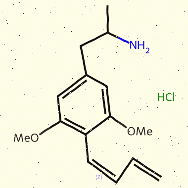 C=C/C=C\c1c(OC)cc(CC(C)N)cc1OC.Cl